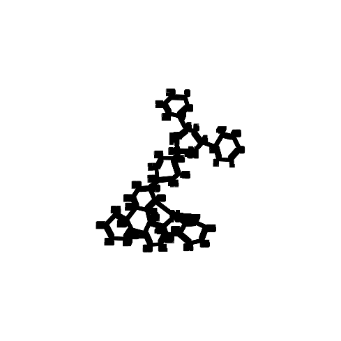 c1ccc(-c2cc(-c3ccccc3)nc(-c3ccc(-c4ccc5c6ccccc6c6ccc7c8ccccc8n8c4c5c6c78)cc3)n2)cc1